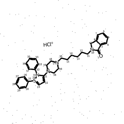 Cl.O=C1c2ccccc2CN1CCCCCCN1CCN(C2=CC=S(c3ccccc3)N2c2ccccc2)CC1